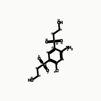 Nc1cc(Cl)c(S(=O)(=O)CCO)cc1S(=O)(=O)CCO